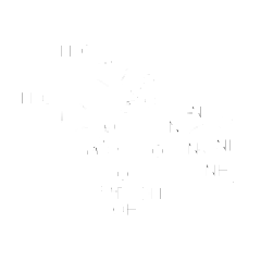 Cc1ccc(S(=O)(=O)OC[C@@H](COP(=O)(O)O)O[C@H](COS(=O)(=O)c2ccc(C)cc2)n2cnc3c(=O)[nH]c(N)nc32)cc1